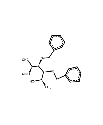 CC(=O)N[C@@H](C=O)[C@@H](OCc1ccccc1)[C@@H](OCc1ccccc1)[C@@H](C)O